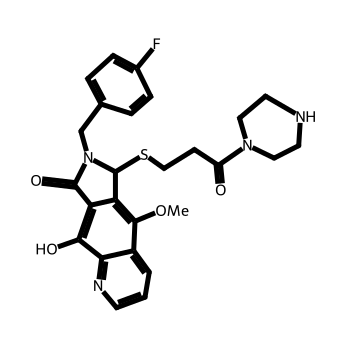 COc1c2c(c(O)c3ncccc13)C(=O)N(Cc1ccc(F)cc1)C2SCCC(=O)N1CCNCC1